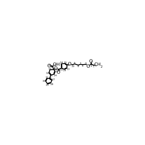 C=CC(=O)OCCCCCCOc1ccc(C(=O)OC2(C(=O)O)C=CC(c3ccccc3)=CC2)cc1